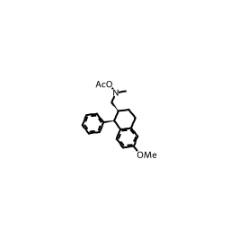 COc1ccc2c(c1)CC[C@H](CN(C)OC(C)=O)[C@@H]2c1ccccc1